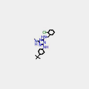 CNc1nc(NCc2ccccc2Cl)nc(Nc2ccc(C(C)(C)C)cc2)n1